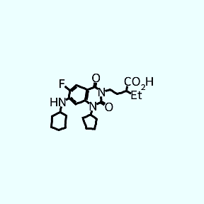 CCC(CCn1c(=O)c2cc(F)c(NC3CCCCC3)cc2n(C2CCCC2)c1=O)C(=O)O